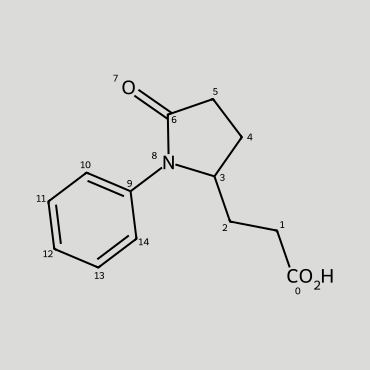 O=C(O)CCC1CCC(=O)N1c1ccccc1